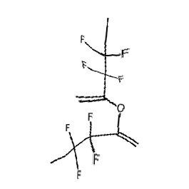 C=C(OC(=C)C(F)(F)C(C)(F)F)C(F)(F)C(C)(F)F